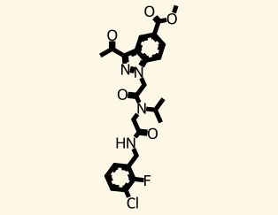 COC(=O)c1ccc2c(c1)c(C(C)=O)nn2CC(=O)N(CC(=O)NCc1cccc(Cl)c1F)C(C)C